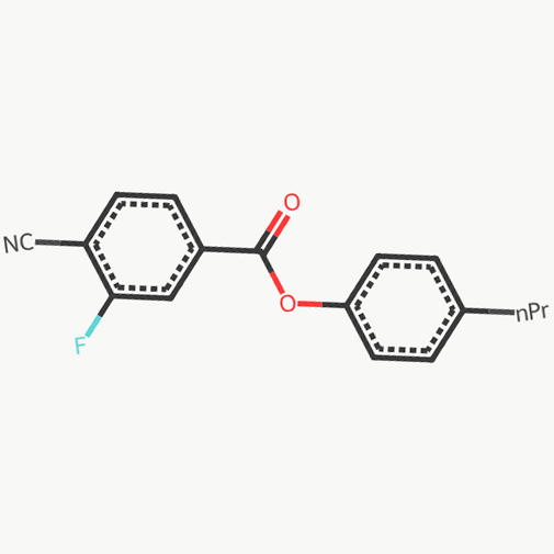 CCCc1ccc(OC(=O)c2ccc(C#N)c(F)c2)cc1